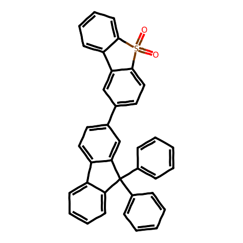 O=S1(=O)c2ccccc2-c2cc(-c3ccc4c(c3)C(c3ccccc3)(c3ccccc3)c3ccccc3-4)ccc21